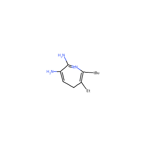 CCC1=C(C(C)(C)C)N=C(N)C(N)=CC1